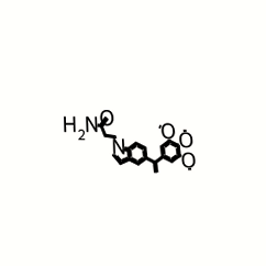 C=C(c1cc(OC)c(OC)c(OC)c1)c1ccc2c(ccn2CCC(N)=O)c1